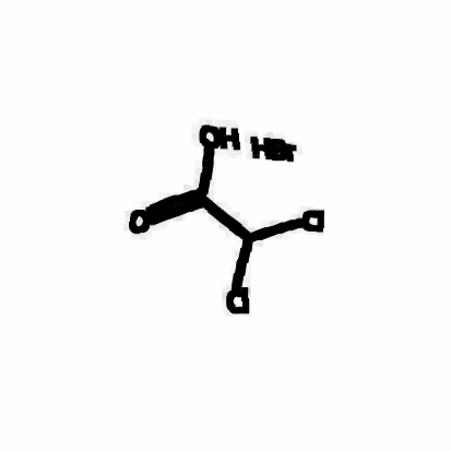 Br.O=C(O)C(Cl)Cl